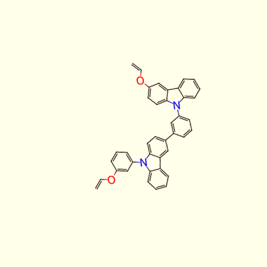 C=COc1cccc(-n2c3ccccc3c3cc(-c4cccc(-n5c6ccccc6c6cc(OC=C)ccc65)c4)ccc32)c1